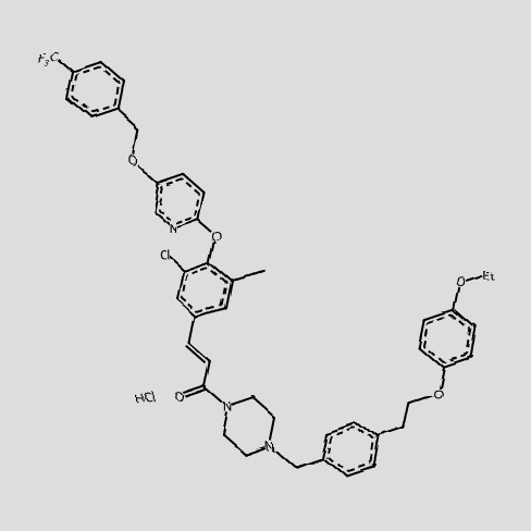 CCOc1ccc(OCCc2ccc(CN3CCN(C(=O)C=Cc4cc(C)c(Oc5ccc(OCc6ccc(C(F)(F)F)cc6)cn5)c(Cl)c4)CC3)cc2)cc1.Cl